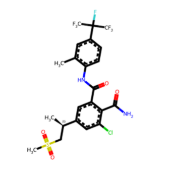 Cc1cc(C(F)(C(F)(F)F)C(F)(F)F)ccc1NC(=O)c1cc([C@H](C)CS(C)(=O)=O)cc(Cl)c1C(N)=O